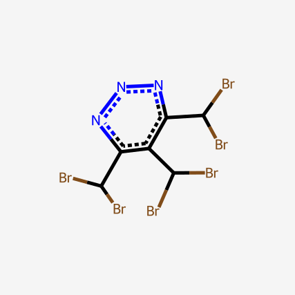 BrC(Br)c1nnnc(C(Br)Br)c1C(Br)Br